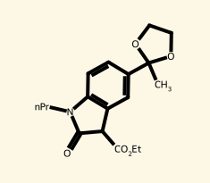 CCCN1C(=O)C(C(=O)OCC)c2cc(C3(C)OCCO3)ccc21